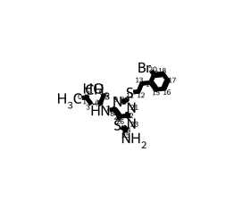 CC(C)C[C@H](CO)Nc1nc(SCCc2ccccc2Br)nc2nc(N)sc12